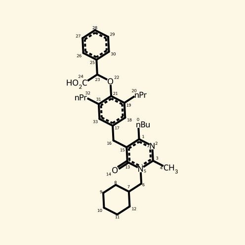 CCCCc1nc(C)n(CC2CCCCC2)c(=O)c1Cc1cc(CCC)c(OC(C(=O)O)c2ccccc2)c(CCC)c1